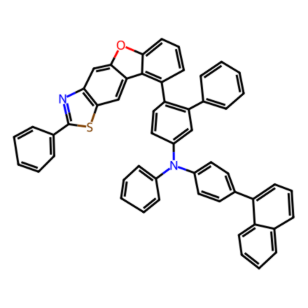 c1ccc(-c2nc3cc4oc5cccc(-c6ccc(N(c7ccccc7)c7ccc(-c8cccc9ccccc89)cc7)cc6-c6ccccc6)c5c4cc3s2)cc1